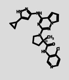 C[C@@]1(C(=O)Nc2cnccc2Cl)CCCN1c1nc(Nc2cc(C3CC3)[nH]n2)c2cccn2n1